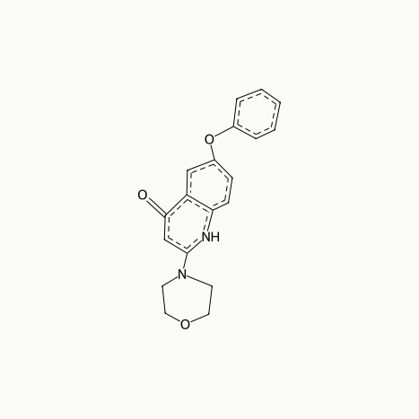 O=c1cc(N2CCOCC2)[nH]c2ccc(Oc3ccccc3)cc12